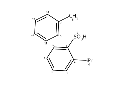 CC(C)c1ccccc1S(=O)(=O)O.Cc1ccccc1